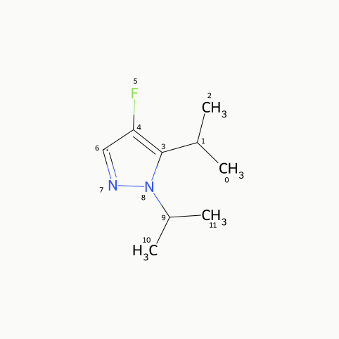 CC(C)c1c(F)[c]nn1C(C)C